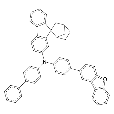 c1ccc(-c2ccc(N(c3ccc(-c4ccc5oc6ccccc6c5c4)cc3)c3ccc4c(c3)C3(CC5CCC3C5)c3ccccc3-4)cc2)cc1